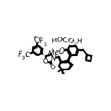 COc1ccc(CC2CCC2)cc1C1=C(CN2C(=O)O[C@H](c3cc(C(F)(F)F)cc(C(F)(F)F)c3)[C@@H]2C)CC(C)(C)CC1.O=C(O)O